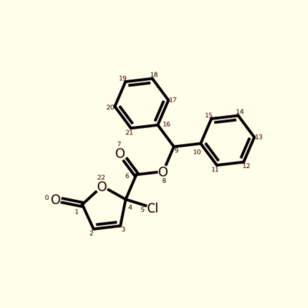 O=C1C=CC(Cl)(C(=O)OC(c2ccccc2)c2ccccc2)O1